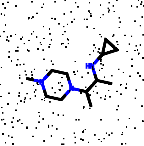 CC(NC1CC1)C(C)N1CCN(C)CC1